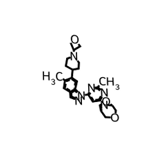 Cc1nc(N2C3COCC2OC3)cc(-n2ncc3cc(C)c(C4CCN(C5COC5)CC4)cc32)n1